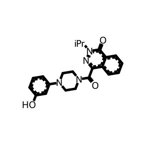 CC(C)n1nc(C(=O)N2CCN(c3cccc(O)c3)CC2)c2ccccc2c1=O